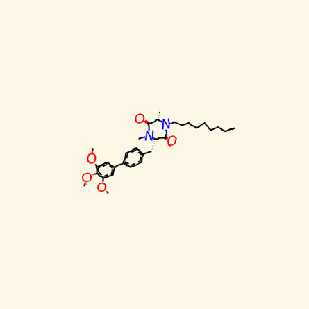 CCCCCCCCCN1C(=O)[C@H](Cc2ccc(-c3cc(OC)c(OC)c(OC)c3)cc2)N(C)C(=O)[C@@H]1C